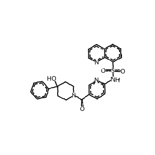 O=C(c1ccc(NS(=O)(=O)c2cccc3cccnc23)nc1)N1CCC(O)(c2ccccc2)CC1